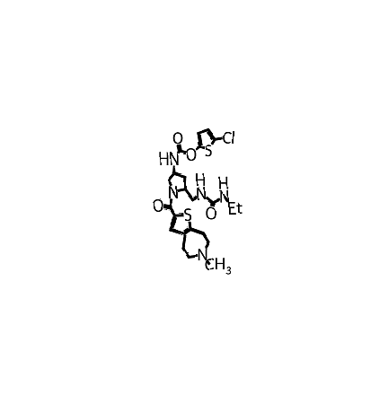 CCNC(=O)NCC1CC(NC(=O)Oc2ccc(Cl)s2)CN1C(=O)c1cc2c(s1)CCN(C)CC2